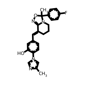 Cc1cn(-c2ccc(/C=C3\CCCN4C3=NOC4(C)c3ccc(F)cc3)cc2O)cn1